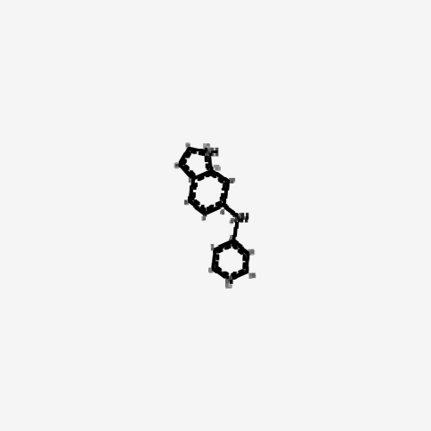 c1cc(Nc2ccc3cc[nH]c3c2)ccn1